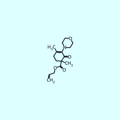 C=CCOC(=O)C1(C)CCC(C)=C(N2CCOCC2)C1=O